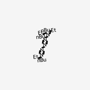 CCCCC(CC)CN1CCN(CCN2CCN(CCN(CC(CC)CCCC)CC(CC)CCCC)CC2)CC1